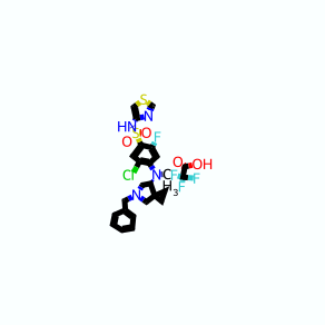 CN(c1cc(F)c(S(=O)(=O)Nc2cscn2)cc1Cl)[C@@H]1CN(Cc2ccccc2)CC12CC2.O=C(O)C(F)(F)F